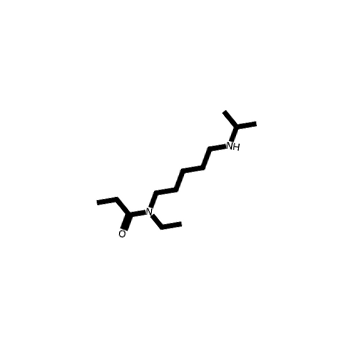 CCC(=O)N(CC)CCCCCNC(C)C